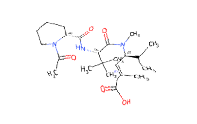 CC(=O)N1CCCC[C@@H]1C(=O)N[C@H](C(=O)N(C)[C@H](/C=C(\C)C(=O)O)C(C)C)C(C)(C)C